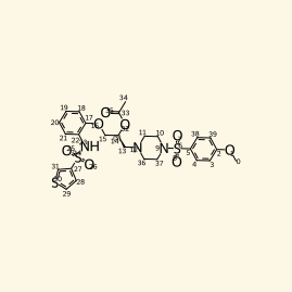 COc1ccc(S(=O)(=O)N2CCN(C[C@@H](COc3ccccc3NS(=O)(=O)c3ccsc3)OC(C)=O)CC2)cc1